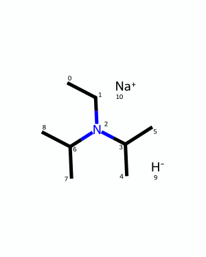 CCN(C(C)C)C(C)C.[H-].[Na+]